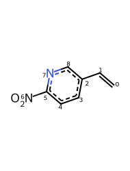 C=Cc1ccc([N+](=O)[O-])nc1